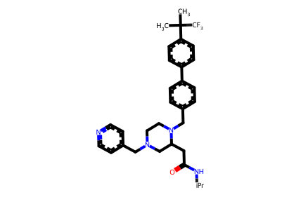 CC(C)NC(=O)CC1CN(Cc2ccncc2)CCN1Cc1ccc(-c2ccc(C(C)(C)C(F)(F)F)cc2)cc1